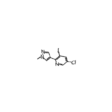 Cn1cc(-c2ncc(Cl)cc2I)cn1